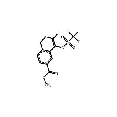 COC(=O)c1ccc2c(c1)C(OS(=O)(=O)C(F)(F)F)=C(F)CC2